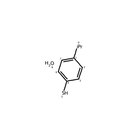 CC(C)c1ccc(S)cc1.O